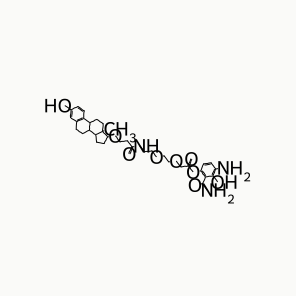 CC12CCC3c4ccc(O)cc4CCC3C1CCC2OCCC(=O)NCCOCCOCC(=O)Oc1ccc(N)c(O)c1C(N)=O